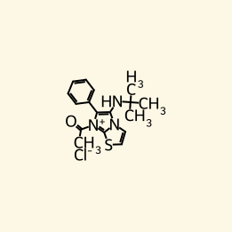 CC(=O)[n+]1c(-c2ccccc2)c(NC(C)(C)C)n2ccsc21.[Cl-]